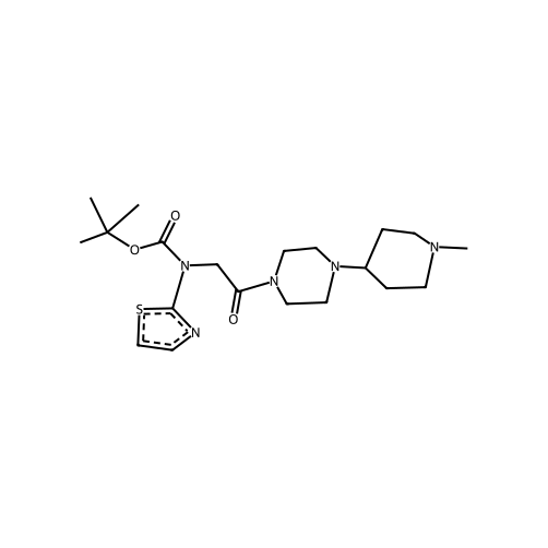 CN1CCC(N2CCN(C(=O)CN(C(=O)OC(C)(C)C)c3nccs3)CC2)CC1